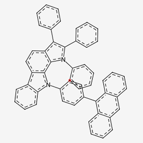 c1ccc(-c2c(-c3ccccc3)n(-c3ccccc3)c3c2ccc2c4ccccc4n(-c4ccc(-c5c6ccccc6cc6ccccc56)cc4)c23)cc1